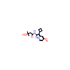 COc1ccn2nc(NC(=O)CC(C)(C)O)c(C3CCC3)c2c1